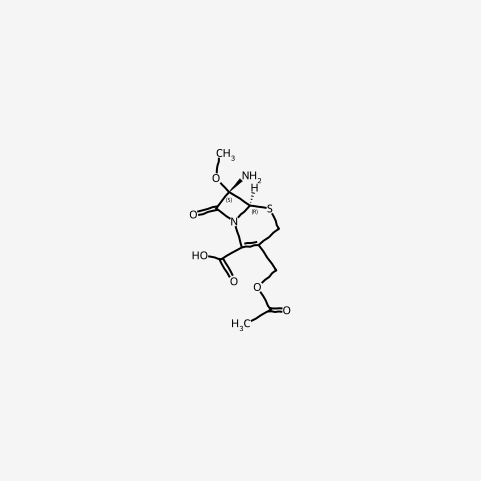 CO[C@@]1(N)C(=O)N2C(C(=O)O)=C(COC(C)=O)CS[C@@H]21